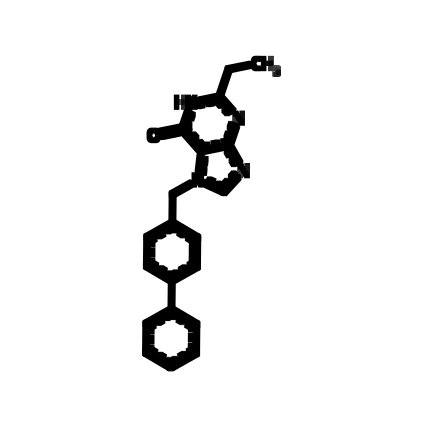 CCc1nc2ncn(Cc3ccc(-c4ccccc4)cc3)c2c(=O)[nH]1